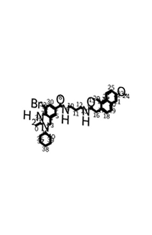 CCN(Cc1cc(C(=O)NCCCNC(=O)Cc2ccc3cc(OC)ccc3c2C)cc(Br)c1N)C1CCCCC1